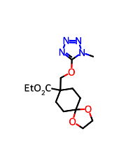 CCOC(=O)C1(COc2nnnn2C)CCC2(CC1)OCCO2